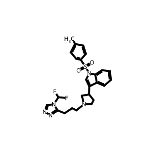 Cc1ccc(S(=O)(=O)n2cc(C3CCN(CCCc4nncn4C(F)F)C3)c3ccccc32)cc1